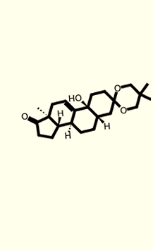 CC1(C)COC2(CC[C@@]3(O)C4=CC[C@]5(C)C(=O)CC[C@H]5[C@@H]4CC[C@H]3C2)OC1